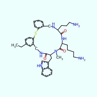 CCc1ccc2c(c1)CNC(=O)C(Cc1c[nH]c3ccccc13)N(C)C(=O)C(CCCCN)NC(=O)C(CCCN)NCc1ccccc1S2